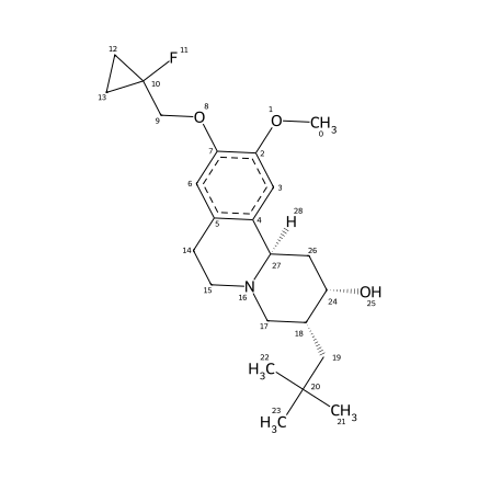 COc1cc2c(cc1OCC1(F)CC1)CCN1C[C@@H](CC(C)(C)C)[C@@H](O)C[C@H]21